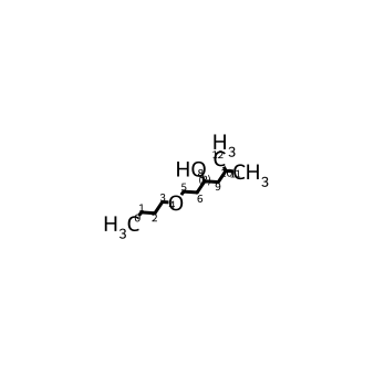 CCCCOCC[C@H](O)CC(C)C